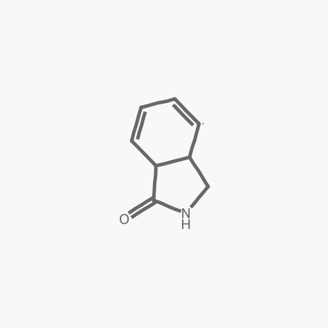 O=C1NCC2[C]=CC=CC12